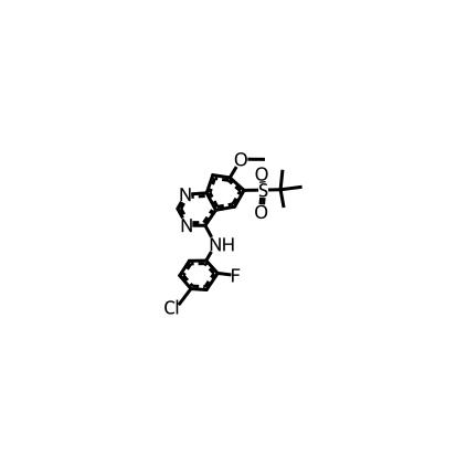 COc1cc2ncnc(Nc3ccc(Cl)cc3F)c2cc1S(=O)(=O)C(C)(C)C